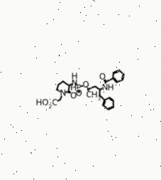 CC(CC(Cc1ccccc1)NC(=O)c1ccccc1)O[PH](=O)NC1CCCN(CC(=O)O)C1=O